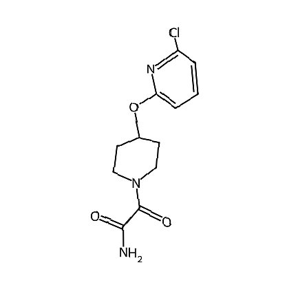 NC(=O)C(=O)N1CCC(Oc2cccc(Cl)n2)CC1